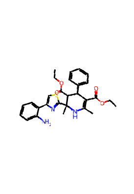 CCOC(=O)C1=C(C)NC(C)(c2nc(-c3ccccc3N)cs2)C(C(=O)OCC)C1c1ccccc1